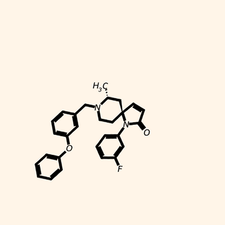 C[C@@H]1C[C@]2(C=CC(=O)N2c2cccc(F)c2)CCN1Cc1cccc(Oc2ccccc2)c1